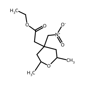 CCOC(=O)CC1(C[N+](=O)[O-])CC(C)OC(C)C1